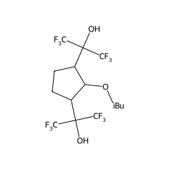 CCC(C)OC1C(C(O)(C(F)(F)F)C(F)(F)F)CCC1C(O)(C(F)(F)F)C(F)(F)F